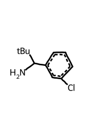 CC(C)(C)C(N)c1cccc(Cl)c1